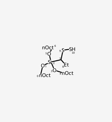 CCCCCCCCO[Si](OCCCCCCCC)(OCCCCCCCC)C(CC)SS